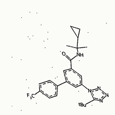 CC(C)(C)c1nnnn1-c1cc(C(=O)NC(C)(C)C2CC2)cc(-c2ccc(C(F)(F)F)cc2)c1